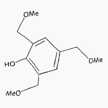 COCc1cc(COC)c(O)c(COC)c1